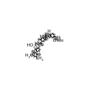 Cc1cn(C)c(=O)n(-c2ccc(C[C@H](NC(=O)c3cc(F)c(NS(=O)(=O)c4cc5cc(NC(=O)C(C)(C)C)ccc5[nH]4)cc3F)C(=O)O)cn2)c1=O